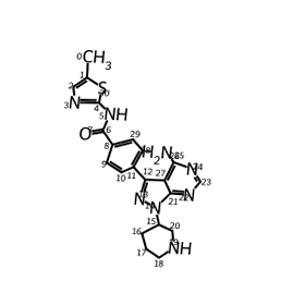 Cc1cnc(NC(=O)c2ccc(-c3nn(C4CCCNC4)c4ncnc(N)c34)cc2)s1